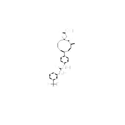 C=C1/C=C\C(c2ccc(NC(=O)Nc3cccc(C(F)(F)F)c3)cc2)=C/CCCC(C)(CC(=O)O)C1=O